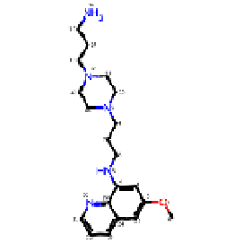 COc1cc(NCCCN2CCN(CCCN)CC2)c2ncccc2c1